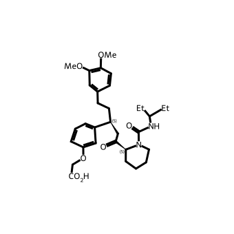 CCC(CC)NC(=O)N1CCCC[C@H]1C(=O)C[C@H](CCc1ccc(OC)c(OC)c1)c1cccc(OCC(=O)O)c1